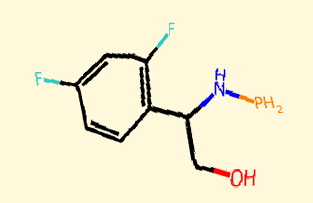 OCC(NP)c1ccc(F)cc1F